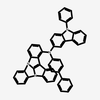 c1ccc(-c2ccc(N(c3ccc4c(c3)c3ccccc3n4-c3ccccc3)c3cccc4c3c3c5ccccc5n5c6ccccc6n4c35)cc2)cc1